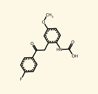 COc1ccc(NC(=O)O)c(CC(=O)c2ccc(F)cc2)c1